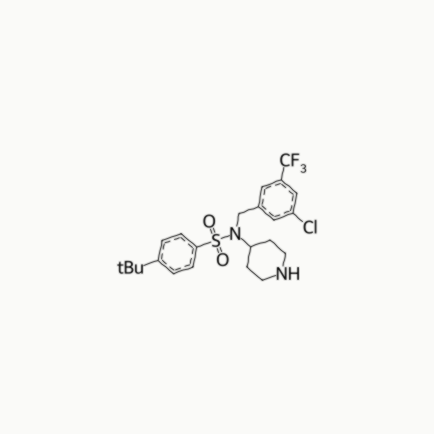 CC(C)(C)c1ccc(S(=O)(=O)N(Cc2cc(Cl)cc(C(F)(F)F)c2)C2CCNCC2)cc1